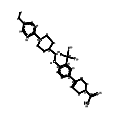 CCc1cnc(N2CCC(COc3ccc(C4=CCC(C(=O)O)CC4)cc3C(F)(F)F)CC2)nc1